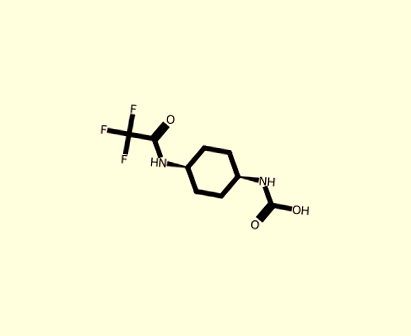 O=C(O)N[C@H]1CC[C@@H](NC(=O)C(F)(F)F)CC1